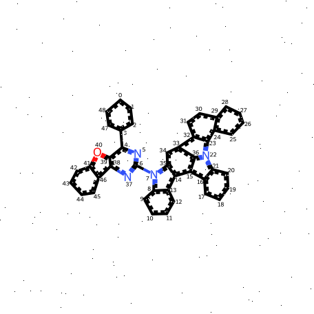 c1ccc(-c2nc(-n3c4ccccc4c4c5c6ccccc6n6c7c8ccccc8ccc7c(cc43)c56)nc3c2oc2ccccc23)cc1